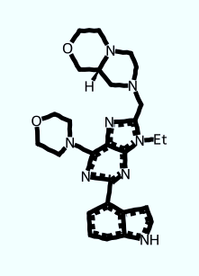 CCn1c(CN2CCN3CCOC[C@H]3C2)nc2c(N3CCOCC3)nc(-c3cccc4[nH]ccc34)nc21